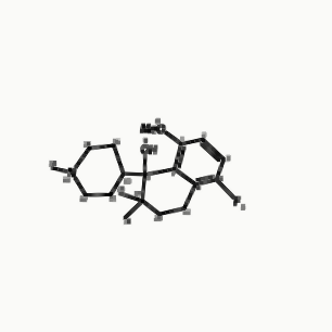 COc1ccc(F)c2c1C(O)(C1CCN(C)CC1)C(C)(C)CC2